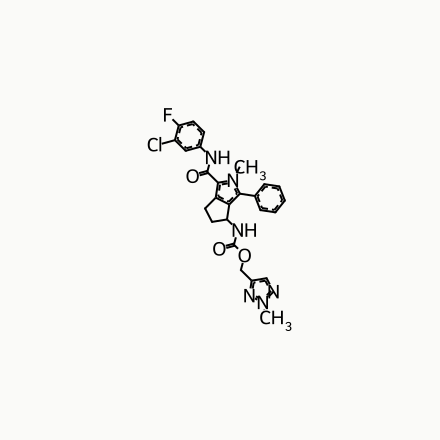 Cn1ncc(COC(=O)NC2CCc3c2c(-c2ccccc2)n(C)c3C(=O)Nc2ccc(F)c(Cl)c2)n1